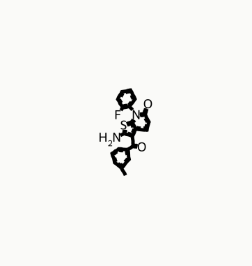 Cc1cccc(C(=O)c2c(N)sc3c2ccc(=O)n3-c2ccccc2F)c1